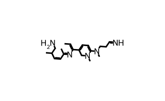 C\C=C(/N=C(C)/C=C\C(C)CN)C1=CC=C(N(C)CCC=N)N(C)C1